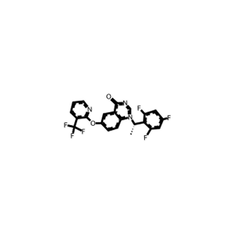 C[C@@H](c1c(F)cc(F)cc1F)n1cnc(=O)c2cc(Oc3ncccc3C(F)(F)F)ccc21